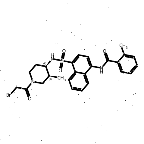 Cc1ccccc1C(=O)Nc1ccc(S(=O)(=O)N[C@@H]2CCN(C(=O)CBr)C[C@@H]2C)c2ccccc12